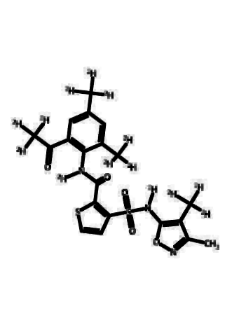 [2H]N(C(=O)c1sccc1S(=O)(=O)N([2H])c1onc(C)c1C([2H])([2H])[2H])c1c(C(=O)C([2H])([2H])[2H])cc(C([2H])([2H])[2H])cc1C([2H])([2H])[2H]